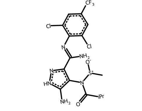 CC(C)C(=O)N(c1c(C(N)=Nc2c(Cl)cc(C(F)(F)F)cc2Cl)n[nH]c1N)[S+](C)[O-]